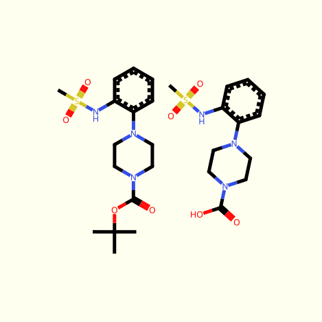 CC(C)(C)OC(=O)N1CCN(c2ccccc2NS(C)(=O)=O)CC1.CS(=O)(=O)Nc1ccccc1N1CCN(C(=O)O)CC1